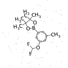 Cc1cc(OC(F)F)cc(B2OC(C)(C)C(C)(C)O2)c1